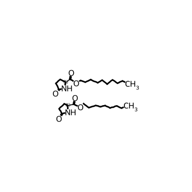 CCCCCCCCCCOC(=O)[C@@H]1CCC(=O)N1.CCCCCCCCCOC(=O)[C@@H]1CCC(=O)N1